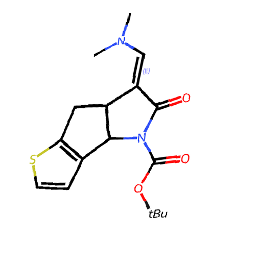 CN(C)/C=C1/C(=O)N(C(=O)OC(C)(C)C)C2c3ccsc3CC12